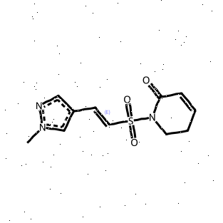 Cn1cc(/C=C/S(=O)(=O)N2CCC=CC2=O)cn1